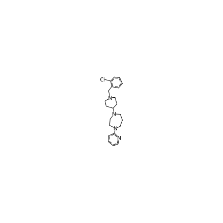 Clc1ccccc1CN1CCC(N2CCCN(c3ccccn3)CC2)CC1